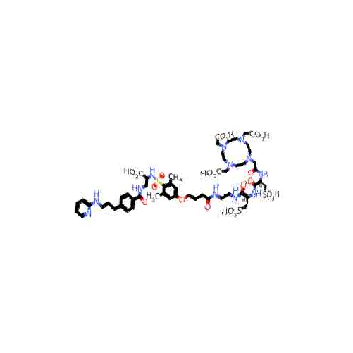 Cc1cc(OCCCC(=O)NCCNC(=O)[C@H](CS(=O)(=O)O)NC(=O)[C@H](CS(=O)(=O)O)NC(=O)CN2CCN(CC(=O)O)CCN(CC(=O)O)CCN(CC(=O)O)CC2)cc(C)c1S(=O)(=O)NC(CNC(=O)c1ccc(CCCNc2ccccn2)cc1)C(=O)O